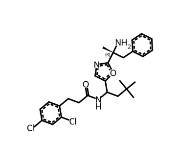 CC(C)(C)CC(NC(=O)CCc1ccc(Cl)cc1Cl)c1cnc([C@](C)(N)Cc2ccccc2)o1